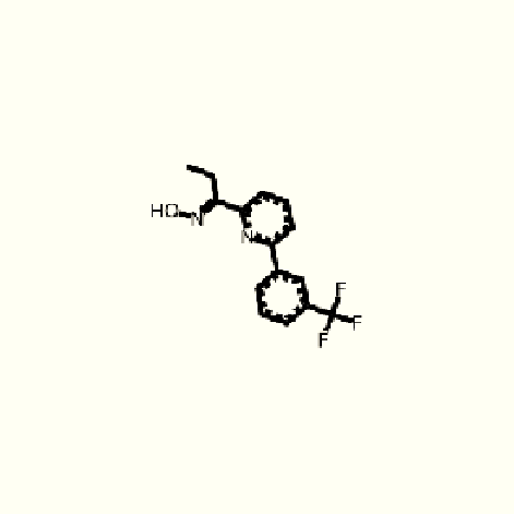 CCC(=NO)c1cccc(-c2cccc(C(F)(F)F)c2)n1